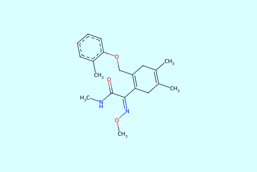 CNC(=O)C(=NOC)C1=C(COc2ccccc2C)CC(C)=C(C)C1